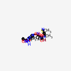 Cc1ncsc1-c1ccc([C@H](C)NC(=O)[C@@H]2C[C@@H](O)CN2C(=O)[C@@H](c2cc(OCCN3CC[C@H](N4CCN5c6cc(-c7ccccc7O)nnc6NC[C@H]5C4)[C@H](C)C3)no2)C(C)C)cc1